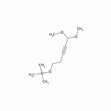 COC(C#CCCO[Si](C)(C)C)OC